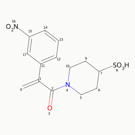 C=C(C(=O)N1CCC(S(=O)(=O)O)CC1)c1cc[c]c([N+](=O)[O-])c1